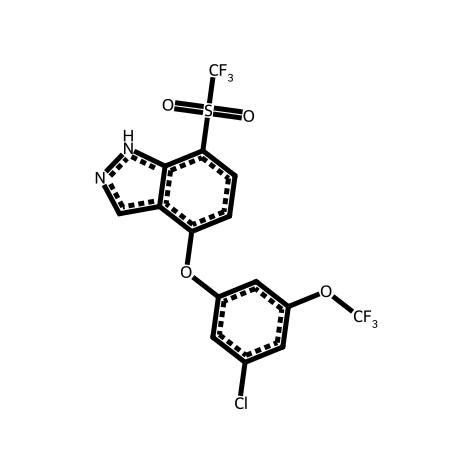 O=S(=O)(c1ccc(Oc2cc(Cl)cc(OC(F)(F)F)c2)c2cn[nH]c12)C(F)(F)F